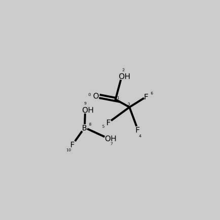 O=C(O)C(F)(F)F.OB(O)F